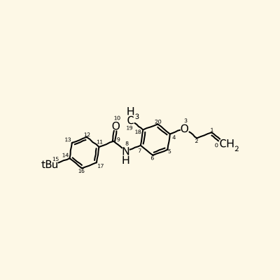 C=CCOc1ccc(NC(=O)c2ccc(C(C)(C)C)cc2)c(C)c1